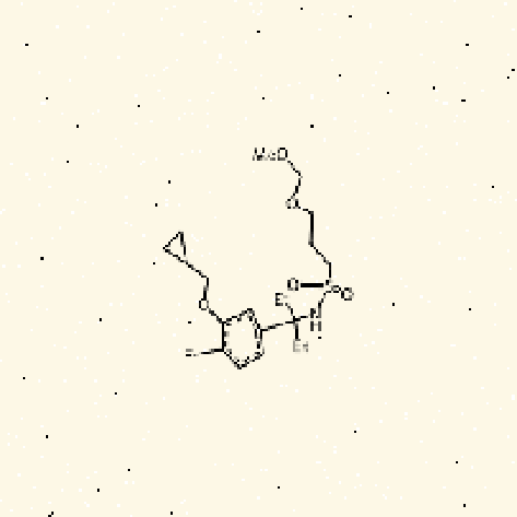 CCC(CC)(NS(=O)(=O)CCCOCOC)c1ccc(F)c(OCC2CC2)c1